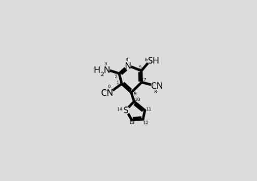 [C-]#[N+]c1c(N)nc(S)c(C#N)c1-c1cccs1